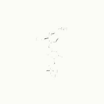 C=C1N=C(ON)C=CN1C[C@H]1CC(O)[C@@H](COP(=O)(O)O)O1